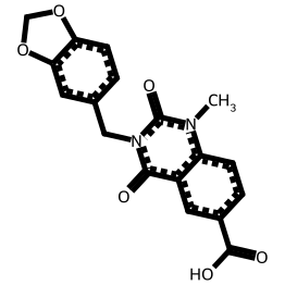 Cn1c(=O)n(Cc2ccc3c(c2)OCO3)c(=O)c2cc(C(=O)O)ccc21